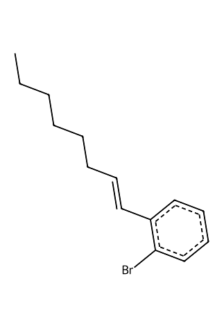 CCCCCC/C=C/c1ccccc1Br